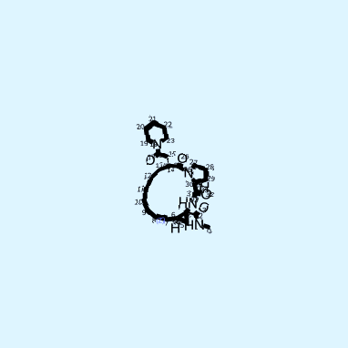 CNC(=O)[C@@]12C[C@H]1/C=C\CCCCC[C@H](CC(=O)N1CCCCC1)C(=O)N1CCC[C@H]1C(=O)N2